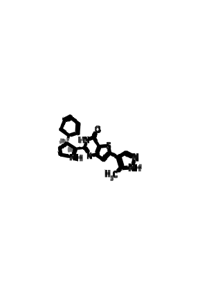 Cc1[nH]ncc1-c1cc2nc([C@H]3NCC[C@@H]3C3C=CC=CC3)[nH]c(=O)c2s1